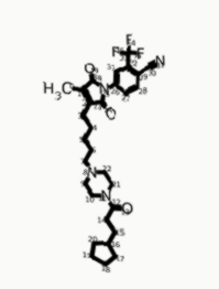 CC1=C(CCCCCN2CCN(C(=O)CCC3CCCC3)CC2)C(=O)N(c2ccc(C#N)c(C(F)(F)F)c2)C1=O